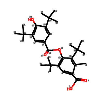 Cc1c(C(=O)O)cc(C(C)(C)C)c(OC(=O)c2cc(C(C)(C)C)c(O)c(C(C)(C)C)c2)c1C(C)(C)C